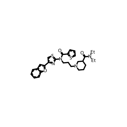 CCN(CC)C(=O)C1CCCN(CCCN(C(=O)c2cccs2)c2nc(-c3cc4ccccc4o3)cs2)C1